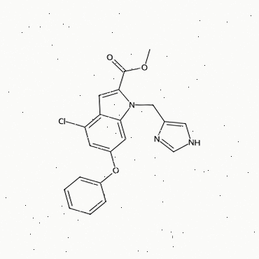 COC(=O)c1cc2c(Cl)cc(Oc3ccccc3)cc2n1Cc1c[nH]cn1